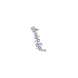 Cc1c(NC(=O)c2ccc(C=O)cn2)cccc1-c1cccc(NC(=O)c2ccc(CN(C[C@@H]3CCC(=O)N3)C(=O)OC(C)(C)C)cn2)c1Cl